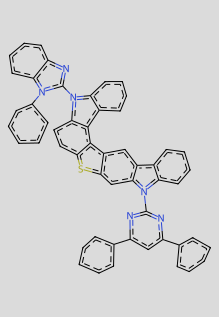 c1ccc(-c2cc(-c3ccccc3)nc(-n3c4ccccc4c4cc5c(cc43)sc3ccc4c(c6ccccc6n4-c4nc6ccccc6n4-c4ccccc4)c35)n2)cc1